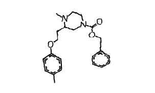 Cc1ccc(OCC[C@@H]2CN(C(=O)OCc3ccccc3)CCN2C)cc1